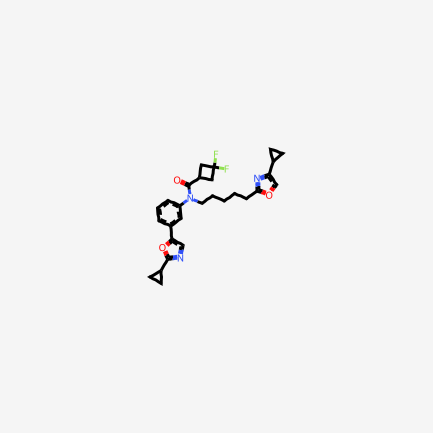 O=C(C1CC(F)(F)C1)N(CCCCCc1nc(C2CC2)co1)c1cccc(-c2cnc(C3CC3)o2)c1